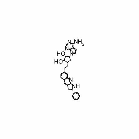 Nc1ncnc2c1ccn2[C@@H]1C[C@H](CCc2ccc3cc4c(nc3c2)N[C@H](c2ccccc2)C4)[C@@H](O)[C@H]1O